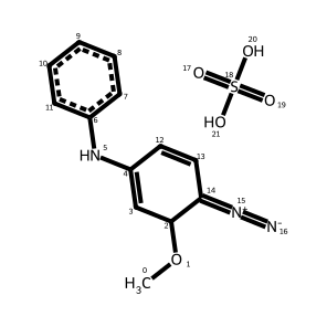 COC1C=C(Nc2ccccc2)C=CC1=[N+]=[N-].O=S(=O)(O)O